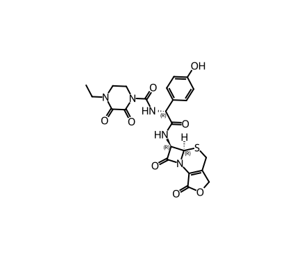 CCN1CCN(C(=O)N[C@@H](C(=O)N[C@@H]2C(=O)N3C4=C(COC4=O)CS[C@H]23)c2ccc(O)cc2)C(=O)C1=O